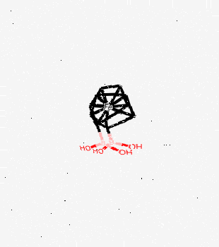 OB(O)[C]12[CH]3[CH]4[CH]5[CH]1[Fe]45321678[CH]2[CH]1[CH]6[C]7(B(O)O)[CH]28